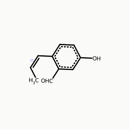 C/C=C\c1ccc(O)cc1C=O